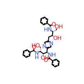 O=C(N[C@H](c1cnc(C[C@H](O)[C@@H](CO)NC(=O)c2ccccc2)cn1)[C@H](O)[C@@H](CO)NC(=O)c1ccccc1)c1ccccc1